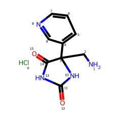 Cl.NCC1(c2cccnc2)NC(=O)NC1=O